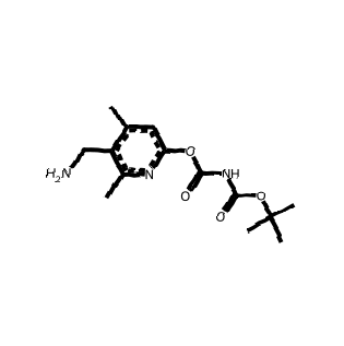 Cc1cc(OC(=O)NC(=O)OC(C)(C)C)nc(C)c1CN